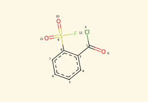 O=C(Cl)c1ccccc1S(=O)(=O)F